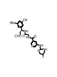 CC(C)(C)c1cc(C#N)cc([C@H](CC=O)NC(=O)CNC(=O)c2cncc(NC3=NCC(F)CN3)c2)c1